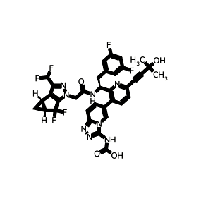 CC(C)(O)C#Cc1ccc(-c2ccc3nnc(NC(=O)O)n3c2)c([C@H](Cc2cc(F)cc(F)c2)NC(=O)Cn2nc(C(F)F)c3c2C(F)(F)[C@@H]2C[C@H]32)n1